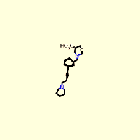 O=C(O)C1CCCN(Cc2cccc(C#CCCN3CCCCC3)c2)C1